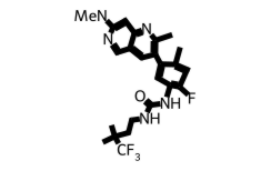 CNc1cc2nc(C)c(-c3cc(NC(=O)NCCC(C)(C)C(F)(F)F)c(F)cc3C)cc2cn1